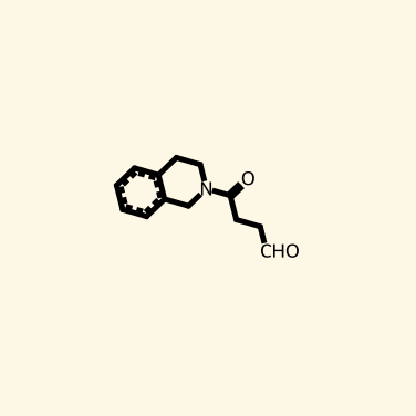 O=CCCC(=O)N1CCc2ccccc2C1